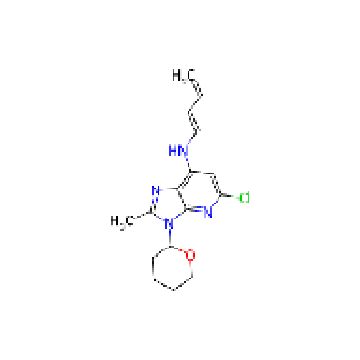 C=C/C=C/Nc1cc(Cl)nc2c1nc(C)n2C1CCCCO1